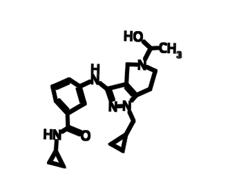 CC(O)N1CCc2c(c(Nc3cccc(C(=O)NC4CC4)c3)nn2CC2CC2)C1